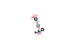 O=C(O)c1ccc2nc(N3CCC(OCc4c(-c5ccccc5)noc4C4CC4)CC3)sc2c1